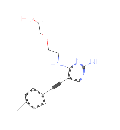 Cc1ccc(C#Cc2cnc(N)nc2NCCOCCO)cc1